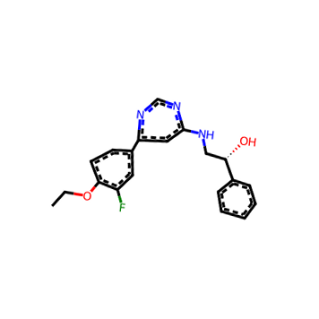 CCOc1ccc(-c2cc(NC[C@H](O)c3ccccc3)ncn2)cc1F